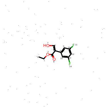 CCOC(=O)C(=CO)c1cc(F)cc(F)c1